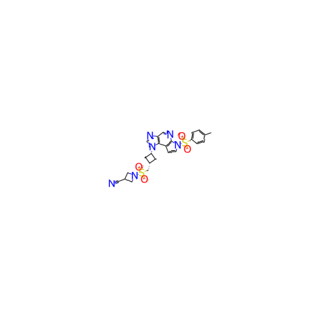 Cc1ccc(S(=O)(=O)n2ccc3c2ncc2ncn([C@H]4C[C@@H](CS(=O)(=O)N5CC(C#N)C5)C4)c23)cc1